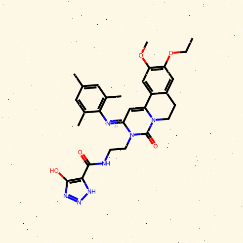 CCOc1cc2c(cc1OC)-c1c/c(=N\c3c(C)cc(C)cc3C)n(CCNC(=O)c3[nH]nnc3O)c(=O)n1CC2